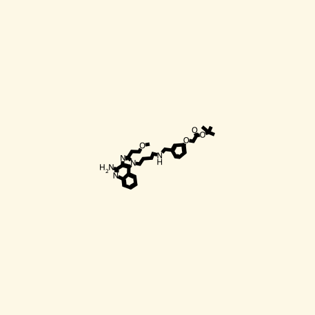 COCCc1nc2c(N)nc3ccccc3c2n1CCCCNCc1cccc(OCC(=O)OC(C)(C)C)c1